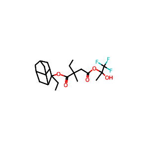 CCC(C)(CC(=O)OC(C)(O)C(F)(F)F)C(=O)OC1(CC)C2CC3CC(C2)CC1C3